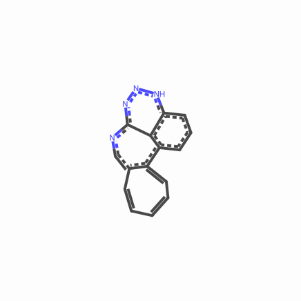 C1=CC=c2c(cnc3nn[nH]c4cccc2c4-3)C=C1